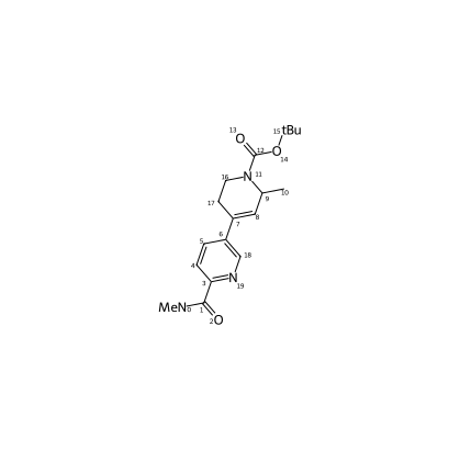 CNC(=O)c1ccc(C2=CC(C)N(C(=O)OC(C)(C)C)CC2)cn1